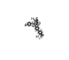 CCOC(=O)C1(NC(=O)Cc2ccc(F)cc2)Cc2ccc(-c3ccc(OC)cc3)cc2C1